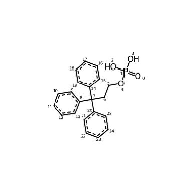 O=P(O)(O)OCCC(c1ccccc1)(c1ccccc1)c1ccccc1